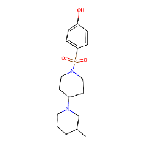 CC1CCCN(C2CCN(S(=O)(=O)c3ccc(O)cc3)CC2)C1